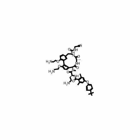 Cc1cc(Oc2ccc(C(C)(C)C)cc2)cc(C)c1C(=O)N[C@@H](CCN)C(=O)N(C)[C@@H]1C(=O)N[C@@H](C)C(=O)N[C@H](C(=O)NCC#N)Cc2ccc(OCCN)c(c2)-c2cc1ccc2OCCN